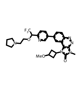 COC1CC(n2c(=O)n(C)c3nnc4ccc(-c5ccc(C(OCCN6CCCC6)C(F)(F)F)nc5)cc4c32)C1